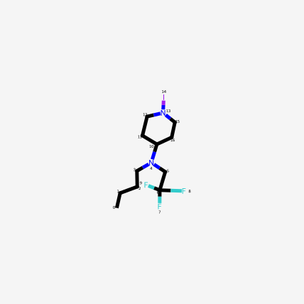 CCCCN(CC(F)(F)F)C1CCN(I)CC1